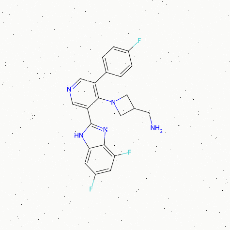 NCC1CN(c2c(-c3ccc(F)cc3)cncc2-c2nc3c(F)cc(F)cc3[nH]2)C1